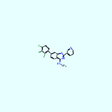 CNc1nc(-c2cccnc2)nc2cc(-c3ccc(F)c(F)c3F)ccc12